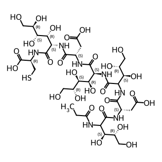 CCC(=O)NC(C(=O)N[C@@H](CC(=O)O)C(=O)NC(C(=O)N[C@H](C(=O)N[C@@H](CC(=O)O)C(=O)N[C@H](C(=O)N[C@@H](CS)C(=O)O)[C@@H](O)[C@H](O)[C@H](O)CO)[C@@H](O)[C@H](O)[C@H](O)CO)[C@H](O)[C@H](O)CO)[C@H](O)[C@H](O)CO